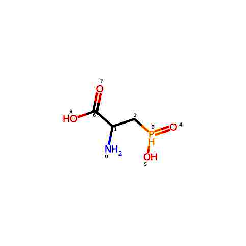 NC(C[PH](=O)O)C(=O)O